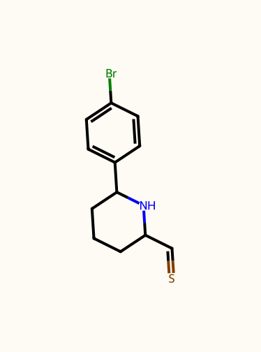 S=CC1CCCC(c2ccc(Br)cc2)N1